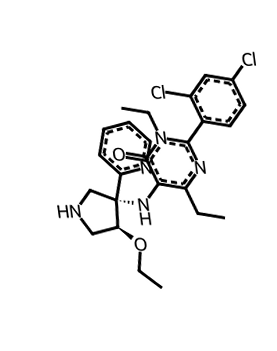 CCO[C@H]1CNC[C@@]1(Nc1c(CC)nc(-c2ccc(Cl)cc2Cl)n(CC)c1=O)c1ccccn1